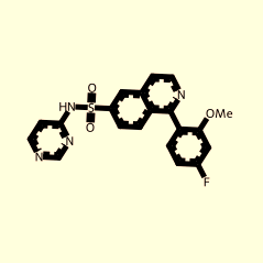 COc1cc(F)ccc1-c1nccc2cc(S(=O)(=O)Nc3ccncn3)ccc12